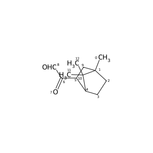 CC12CCC(C(C(=O)C=O)C1)C2(C)C